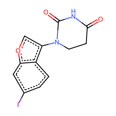 O=C1CCN(c2coc3cc(I)ccc23)C(=O)N1